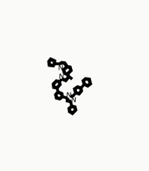 Cc1cc(-c2cccc(-c3cccc(-c4cc(-c5ccccc5)nc(-c5ccc(-c6ccccc6)cc5)n4)c3)c2)nc2c1ccc1ccc(-c3ccccc3)nc12